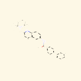 Cc1ccc(-c2ccc(C(=O)Nc3ccc4nc(CN5C(C)(C)CCCC5(C)C)ccc4c3)cc2)cc1